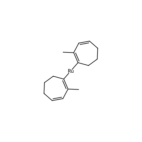 CC1=[C]([Ru][C]2=C(C)C=CCCC2)CCCC=C1